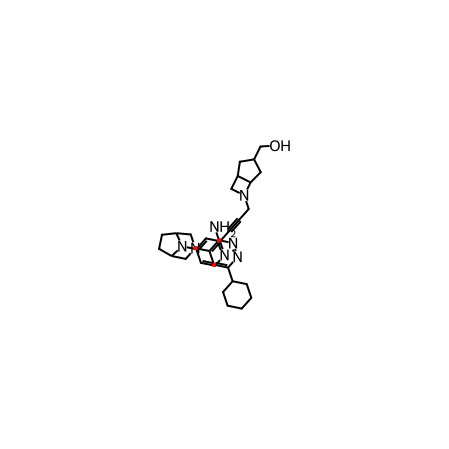 Nc1nnc(C2CCCCC2)cc1N1CC2CCC(C1)N2c1ccnc(C#CCN2CC3CC(CO)CC32)c1